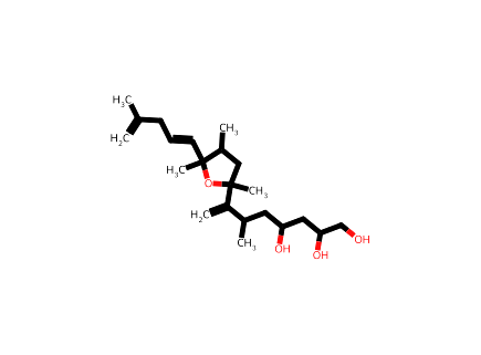 C=C(C)CC=CC1(C)OC(C)(C(=C)C(C)CC(O)CC(O)CO)CC1C